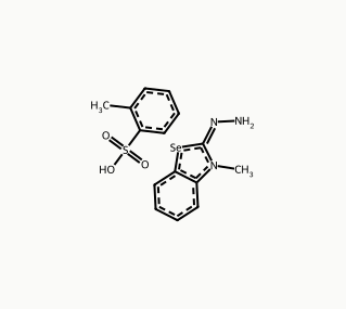 Cc1ccccc1S(=O)(=O)O.Cn1c(=NN)[se]c2ccccc21